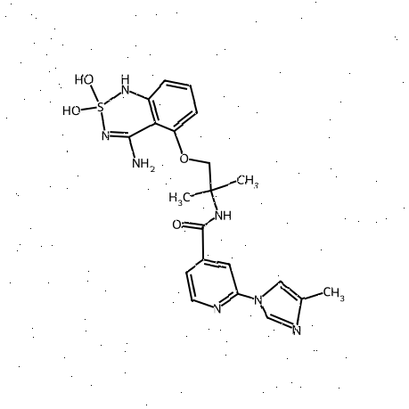 Cc1cn(-c2cc(C(=O)NC(C)(C)COc3cccc4c3C(N)=NS(O)(O)N4)ccn2)cn1